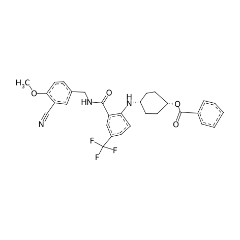 COc1ccc(CNC(=O)c2cc(C(F)(F)F)ccc2N[C@H]2CC[C@@H](OC(=O)c3ccccc3)CC2)cc1C#N